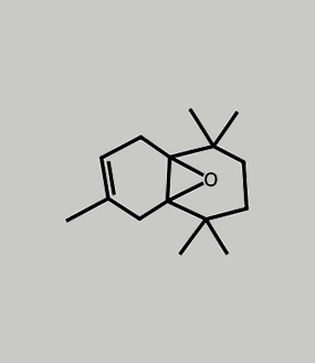 CC1=CCC23OC2(C1)C(C)(C)CCC3(C)C